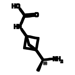 C[C@H](N)C12CC(NC(=O)O)(C1)C2